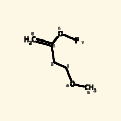 C=C(CCOC)OF